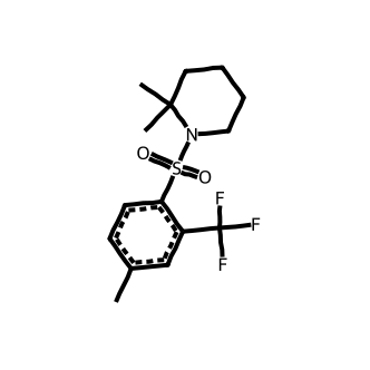 Cc1ccc(S(=O)(=O)N2CCCCC2(C)C)c(C(F)(F)F)c1